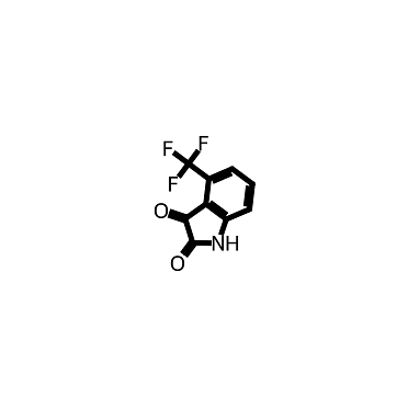 O=C1Nc2cccc(C(F)(F)F)c2C1=O